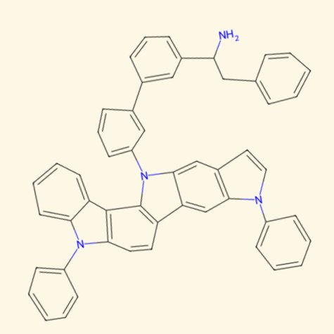 NC(Cc1ccccc1)c1cccc(-c2cccc(-n3c4cc5ccn(-c6ccccc6)c5cc4c4ccc5c(c6ccccc6n5-c5ccccc5)c43)c2)c1